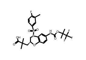 Cc1cc(S(=O)(=O)N2C[C@H](CC(C)(C)C(=O)O)Oc3ccc(NC(=O)OC(C)(C)C(F)(F)F)cc32)ccc1F